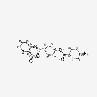 CCC1CCC(C(=O)Oc2ccc(-c3nc4ccccc4c(=O)o3)cc2)CC1